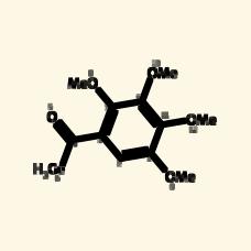 COc1cc([C](=O)[GeH3])c(OC)c(OC)c1OC